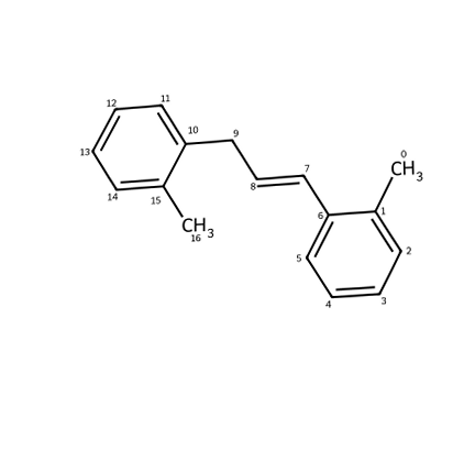 Cc1ccccc1C=CCc1ccccc1C